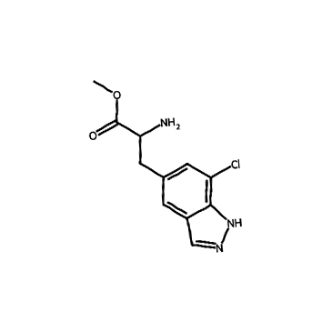 COC(=O)C(N)Cc1cc(Cl)c2[nH]ncc2c1